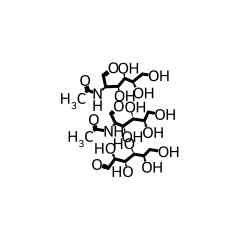 CC(=O)N[C@@H](C=O)[C@@H](O)[C@H](O)[C@H](O)CO.CC(=O)N[C@@H](C=O)[C@@H](O)[C@H](O)[C@H](O)CO.O=C[C@@H](O)[C@@H](O)[C@H](O)[C@H](O)CO